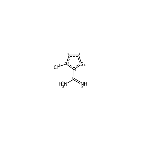 N=C(N)c1sccc1Cl